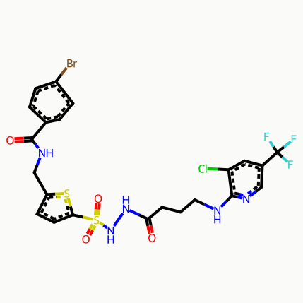 O=C(CCCNc1ncc(C(F)(F)F)cc1Cl)NNS(=O)(=O)c1ccc(CNC(=O)c2ccc(Br)cc2)s1